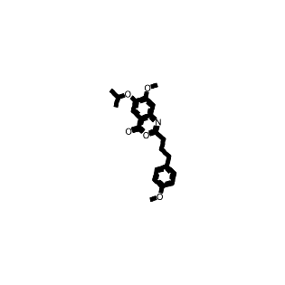 COc1ccc(CCCc2nc3cc(OC)c(OC(C)C)cc3c(=O)o2)cc1